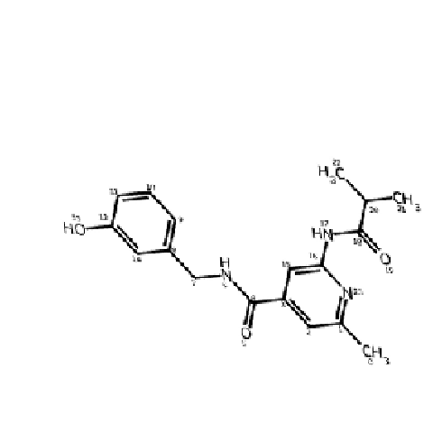 Cc1cc(C(=O)NCc2cccc(O)c2)cc(NC(=O)C(C)C)n1